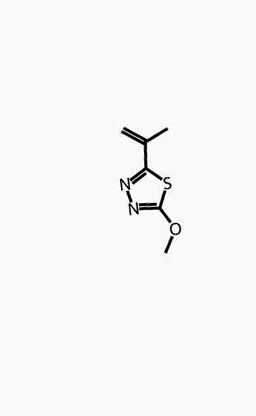 C=C(C)c1nnc(OC)s1